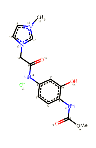 COC(=O)Nc1ccc(NC(=O)Cn2cc[n+](C)c2)cc1O.[Cl-]